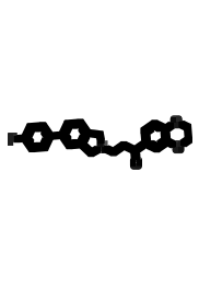 O=C(CCN1Cc2ccc(-c3ccc(F)cc3)cc2C1)c1ccc2c(c1)OCCO2